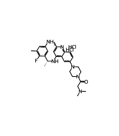 Cc1cc(N[C@H](C)c2cc(N)cc(C)c2F)c2cc(N3CCN(C(=O)CN(C)C)CC3)ccc2n1.Cl.Cl